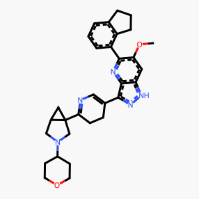 COc1cc2[nH]nc(C3=CN=C(C45CC4CN(C4CCOCC4)C5)CC3)c2nc1-c1cccc2c1CCC2